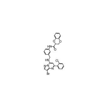 O=C(Nc1cccc(CNc2cc(-c3ccccc3Cl)nc3c(Br)cnn23)c1)C1COc2ccccc2O1